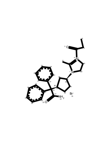 CCC(=O)[N+]1=C(C)N([C@H]2CC[C@@H](C(C(N)=O)(c3ccccc3)c3ccccc3)C2)CC1.[Br-]